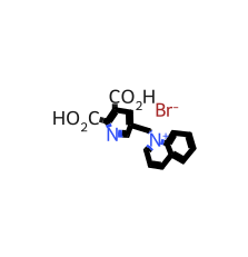 O=C(O)c1cc(C[n+]2cccc3ccccc32)cnc1C(=O)O.[Br-]